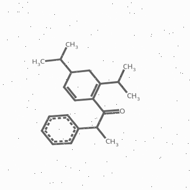 CC(C)C1=C(C(=O)C(C)c2ccccc2)C=CC(C(C)C)[CH]1